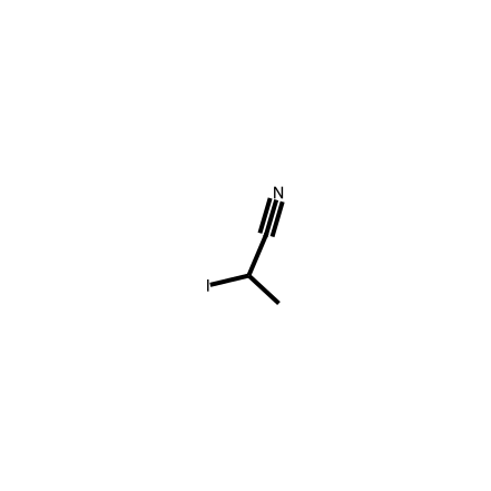 CC(I)C#N